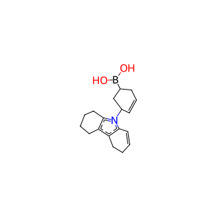 OB(O)C1CC=CC(n2c3c(c4c2CCCC4)CCC=C3)C1